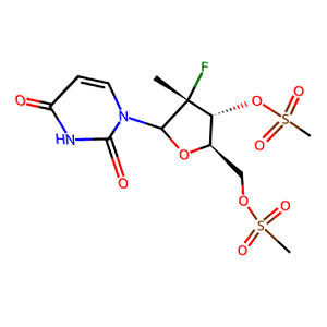 C[C@]1(F)C(n2ccc(=O)[nH]c2=O)O[C@H](COS(C)(=O)=O)[C@H]1OS(C)(=O)=O